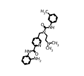 Cc1cccc(NC(=O)N(CCN(C)C)Cc2ccc(C(=O)Nc3ccccc3N)nc2)c1